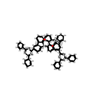 N#Cc1cccc(-n2c3ccccc3c3cc(-c4nc(-c5ccccc5)nc(-c5ccccc5)n4)ccc32)c1-c1ncccc1-n1c2ccccc2c2cc(-c3nc(-c4ccccc4)nc(-c4ccccc4)n3)ccc21